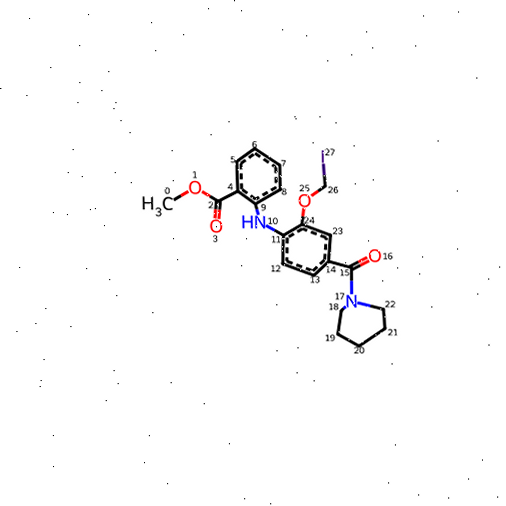 COC(=O)c1ccccc1Nc1ccc(C(=O)N2CCCCC2)cc1OCI